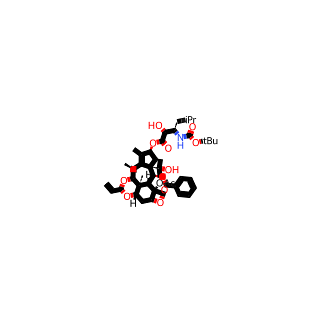 C=CC1O[C@H]2CC3OC[C@@]3(OC(C)=O)[C@H]3[C@H](OC(=O)c4ccccc4)[C@]4(C(C)(C)O)C[C@H](OC(=O)C(O)[C@H](CC(C)C)NC(=O)OC(C)(C)C)C(C)=C4[C@H](C)[C@H](O1)[C@]23C